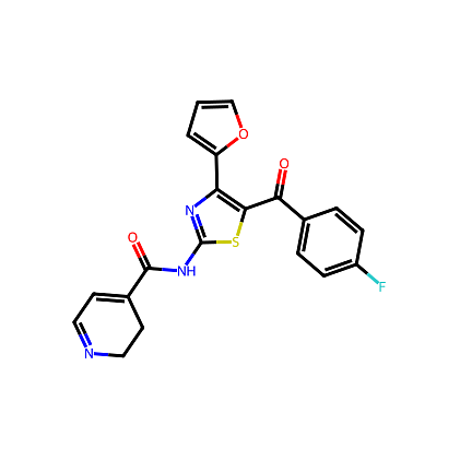 O=C(Nc1nc(-c2ccco2)c(C(=O)c2ccc(F)cc2)s1)C1=CC=NCC1